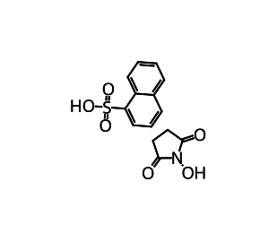 O=C1CCC(=O)N1O.O=S(=O)(O)c1cccc2ccccc12